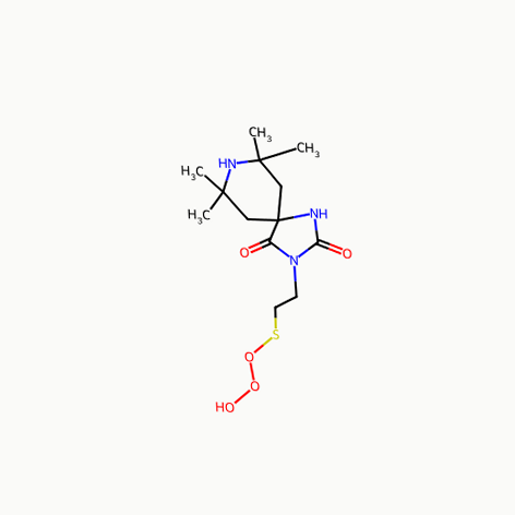 CC1(C)CC2(CC(C)(C)N1)NC(=O)N(CCSOOO)C2=O